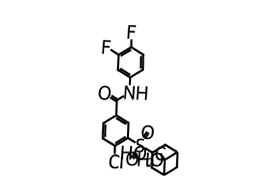 O=C(Nc1ccc(F)c(F)c1)c1ccc(Cl)c(S(=O)(=O)C2CC3CC(C2)C3(O)C(=O)O)c1